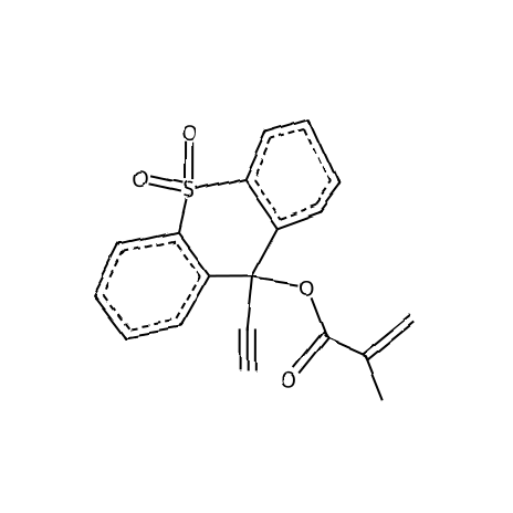 C#CC1(OC(=O)C(=C)C)c2ccccc2S(=O)(=O)c2ccccc21